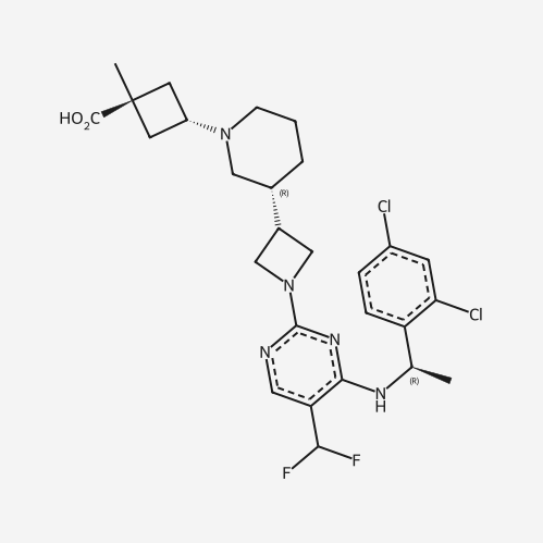 C[C@@H](Nc1nc(N2CC([C@H]3CCCN([C@H]4C[C@](C)(C(=O)O)C4)C3)C2)ncc1C(F)F)c1ccc(Cl)cc1Cl